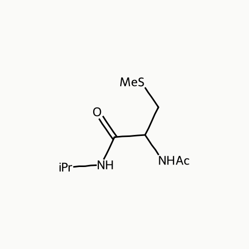 CSCC(NC(C)=O)C(=O)NC(C)C